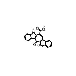 COC(=O)c1cc2c([nH]c3ccccc32)c(=O)c2c1[nH]c1ccccc12